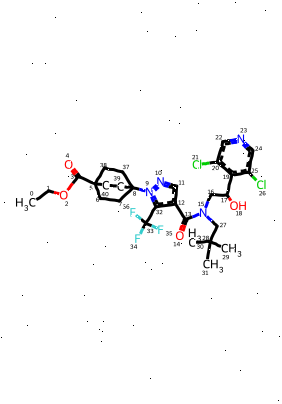 CCOC(=O)C12CCC(n3ncc(C(=O)N(CC(O)c4c(Cl)cncc4Cl)CC(C)(C)C)c3C(F)(F)F)(CC1)CC2